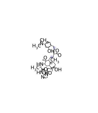 CC(NC1CC2[C@](C)(CC[C@@H](O)[C@@]2(C)CO)C(/C=C/C2=CC(=C\c3ccc(N(C)C)cc3O)/OC2=O)C12CO2)C(=O)NC1=NCC=N1